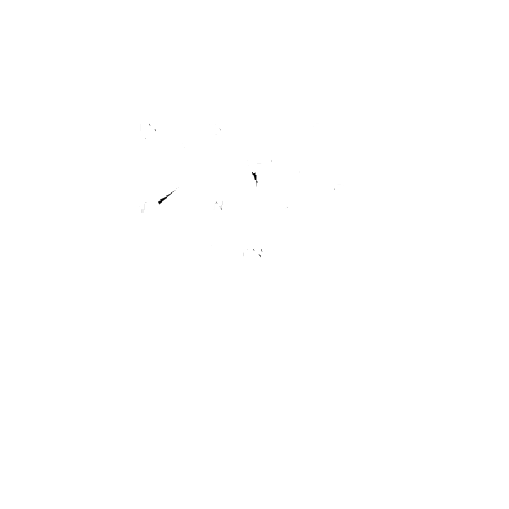 CCC[C@@H](C(N)=O)N([C@@H](C(F)(F)F)C1(S(C)(=O)=O)C=CC(c2ccccc2)C=C1)C1(C#N)CC1